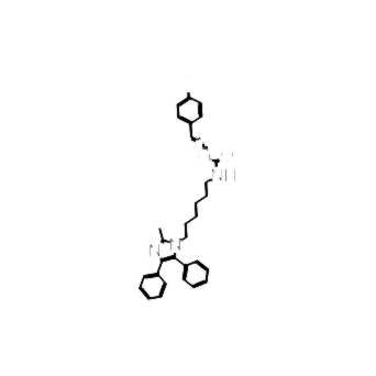 Cc1nc(-c2ccccc2)c(-c2ccccc2)n1CCCCCCNC(=O)O/N=C/c1ccc(F)cc1